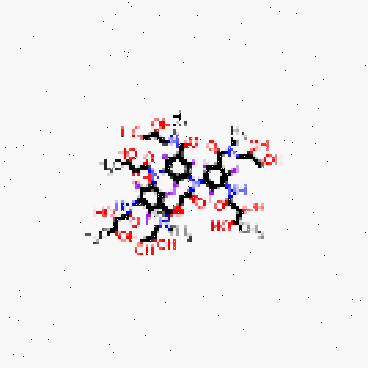 CCCC(=O)N(c1c(I)c(NC(=O)C(O)C(C)O)c(I)c(C(=O)N(C)CC(O)CO)c1I)c1c(I)c(C(=O)N(C)CC(O)CO)c(I)c(N(C(=O)C(O)C(C)O)c2c(I)c(NC(=O)C(O)C(C)O)c(I)c(C(=O)N(C)CC(O)CO)c2I)c1I